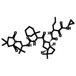 CCCC(NC(=O)[C@@H]1[C@H]2CCC(C)(C)[C@H]2CN1C(=O)[C@@H](NC(=O)N[C@H](CN1C(=O)CC(C)(C)CC1=O)C(C)(C)C)C1(C)CCCCC1)C(=O)C(=O)NC1CC1